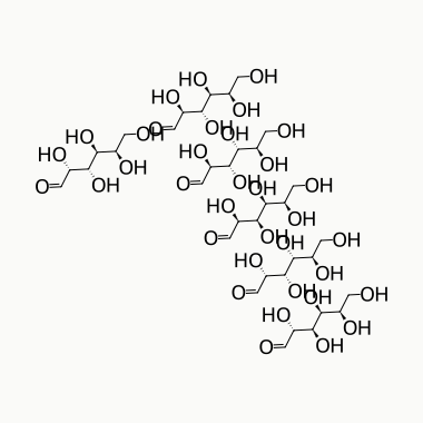 O=C[C@@H](O)[C@@H](O)[C@@H](O)[C@H](O)CO.O=C[C@@H](O)[C@@H](O)[C@H](O)[C@H](O)CO.O=C[C@@H](O)[C@H](O)[C@@H](O)[C@H](O)CO.O=C[C@H](O)[C@@H](O)[C@@H](O)[C@H](O)CO.O=C[C@H](O)[C@@H](O)[C@H](O)[C@H](O)CO.O=C[C@H](O)[C@H](O)[C@@H](O)[C@H](O)CO